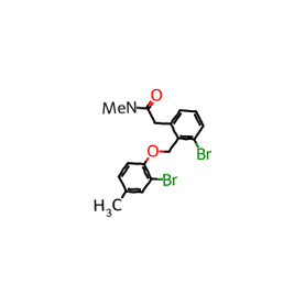 CNC(=O)Cc1cccc(Br)c1COc1ccc(C)cc1Br